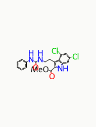 COC(=O)c1[nH]c2cc(Cl)cc(Cl)c2c1CCNC(=O)Nc1ccccc1